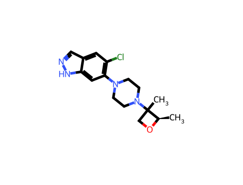 C[C@H]1OCC1(C)N1CCN(c2cc3[nH]ncc3cc2Cl)CC1